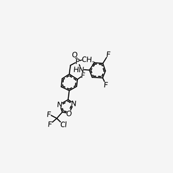 CP(=O)(Cc1ccc(-c2noc(C(F)(F)Cl)n2)cc1F)Nc1cc(F)cc(F)c1